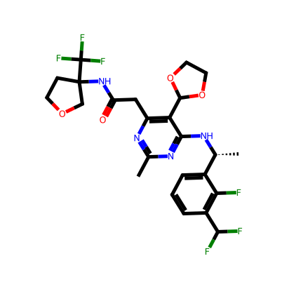 Cc1nc(CC(=O)NC2(C(F)(F)F)CCOC2)c(C2OCCO2)c(N[C@H](C)c2cccc(C(F)F)c2F)n1